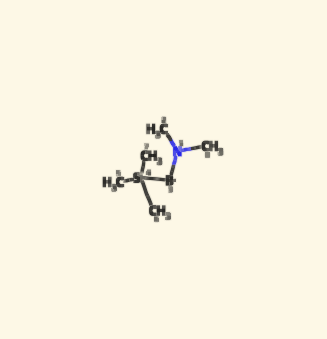 CN(C)[B][Si](C)(C)C